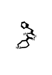 c1ccc(Cc2nnc(C3CCNCC3)[nH]2)cc1